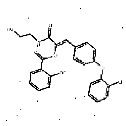 O=C(NCCO)/C(=C/c1ccc(Oc2ccccc2Cl)cc1)NC(=O)c1ccccc1O